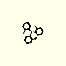 Fc1ccccc1[S+](c1ccccc1F)c1ccccc1F